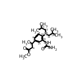 COC(=O)CC(C)c1ccc(N(CC(C)C)CC(C)C)c(NC(N)=O)c1